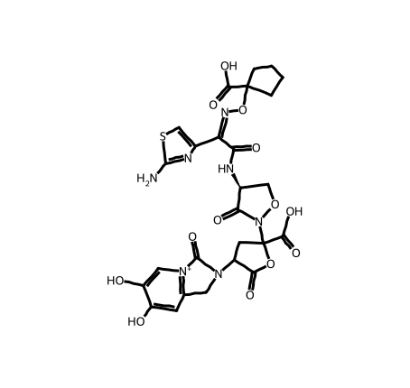 Nc1nc(/C(=N/OC2(C(=O)O)CCCC2)C(=O)N[C@H]2CON(C3(C(=O)O)CC(N4Cc5cc(O)c(O)c[n+]5C4=O)C(=O)O3)C2=O)cs1